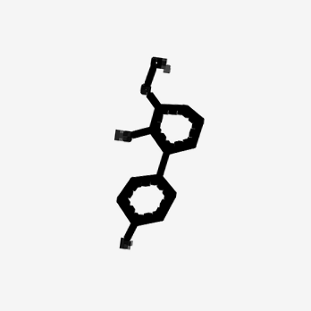 COc1cccc(-c2ccc(Br)cc2)c1O